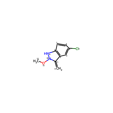 C=C1c2cc(Cl)ccc2NN1OC